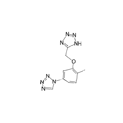 Cc1ccc(-n2cnnn2)cc1OCc1nnn[nH]1